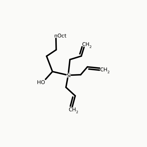 C=CC[Si](CC=C)(CC=C)C(O)CCCCCCCCCC